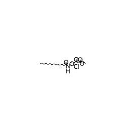 CCCCCCCCCCCCCC(=O)Nc1ccc(C(=O)CC(=O)OCC)c(Cl)c1